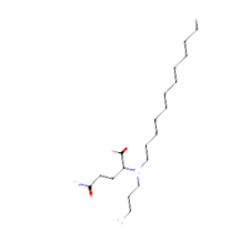 CCCCCCCCCCCCN(CCCN)C(CCC(N)=O)C(=O)O